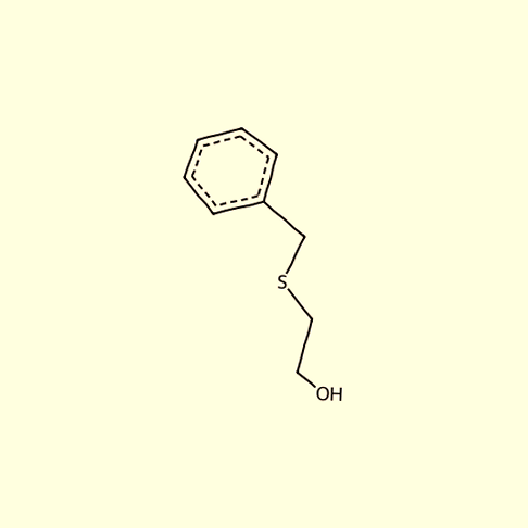 OCCSCc1ccccc1